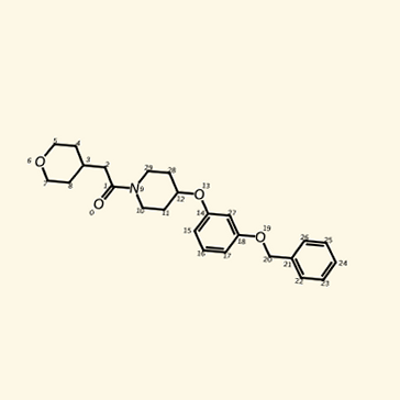 O=C(CC1CCOCC1)N1CCC(Oc2cccc(OCc3ccccc3)c2)CC1